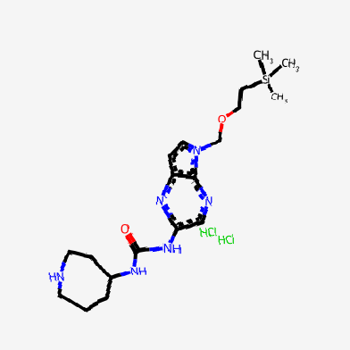 C[Si](C)(C)CCOCn1ccc2nc(NC(=O)NC3CCCNCC3)cnc21.Cl.Cl